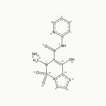 CN1C(C(=O)Nc2ccccn2)=C(O)c2sccc2S1(=O)=O.[SiH4]